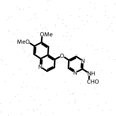 COc1cc2nccc(Oc3cnc(NC=O)nc3)c2cc1OC